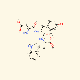 N[C@@H](CC(=O)O)C(=O)N[C@@H](Cc1ccc(O)cc1)C(=O)N[C@@H](Cc1c[nH]c2ccccc12)C(=O)O